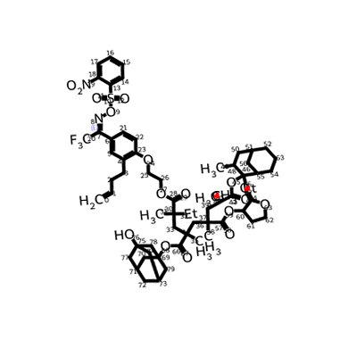 C=CCCc1cc(/C(=N\OS(=O)(=O)c2ccccc2[N+](=O)[O-])C(F)(F)F)ccc1OCCOC(=O)C(C)(CC)CC(C)(CC(C)(CC(C)(C)C(=O)OC1(CC)C(C)CC2CCCC1C2)C(=O)OC1CCOC1=O)C(=O)OC12CC3CC(CC(O)(C3)C1)C2